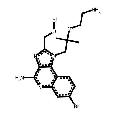 CCOCc1nc2c(N)nc3cc(Br)ccc3c2n1CC(C)(C)OCCN